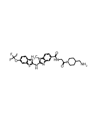 Cn1c(Nc2nc3ccc(OC(F)(F)F)cc3s2)nc2cc(C(=O)NCC(=O)N3CCC(CN)CC3)ccc21